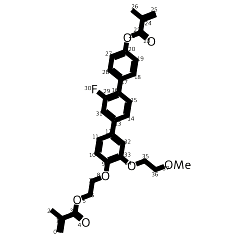 C=C(C)C(=O)OCCOc1ccc(-c2ccc(-c3ccc(OC(=O)C(=C)C)cc3)c(F)c2)cc1OCCOC